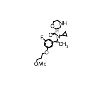 COCCCOc1cc(F)cc([C@@H](C)N(C(=O)[C@H]2CNCCO2)C2CC2)c1